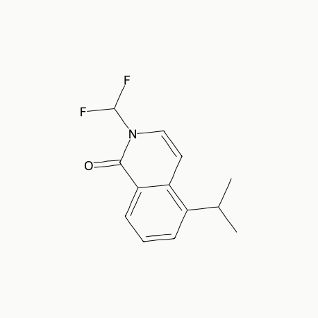 CC(C)c1cccc2c(=O)n(C(F)F)ccc12